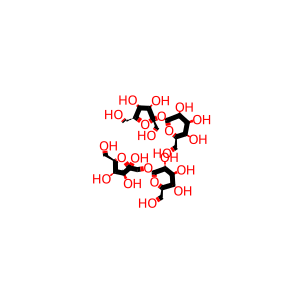 OC[C@H]1OC(O)(CO[C@H]2O[C@H](CO)[C@@H](O)[C@H](O)[C@H]2O)[C@@H](O)[C@@H]1O.OC[C@H]1O[C@@](CO)(O[C@H]2O[C@H](CO)[C@@H](O)[C@H](O)[C@H]2O)[C@@H](O)[C@@H]1O